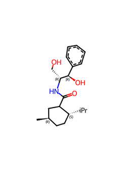 CC(C)[C@@H]1CC[C@@H](C)CC1C(=O)N[C@H](CO)[C@H](O)c1ccccc1